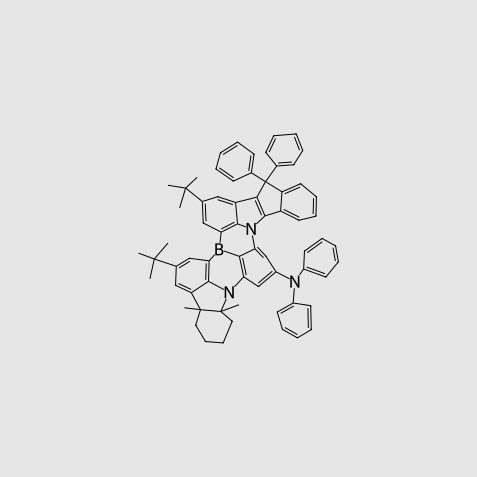 CC(C)(C)c1cc2c3c(c1)C1(C)CCCCC1(C)N3c1cc(N(c3ccccc3)c3ccccc3)cc3c1B2c1cc(C(C)(C)C)cc2c4c(n-3c12)-c1ccccc1C4(c1ccccc1)c1ccccc1